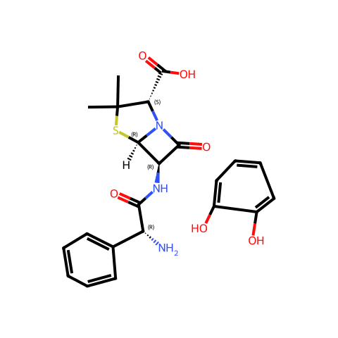 CC1(C)S[C@@H]2[C@H](NC(=O)[C@H](N)c3ccccc3)C(=O)N2[C@H]1C(=O)O.Oc1ccccc1O